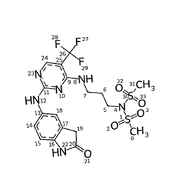 CS(=O)(=O)N(CCCNc1nc(Nc2ccc3c(c2)CC(=O)N3)ncc1C(F)(F)F)S(C)(=O)=O